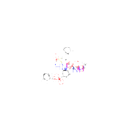 CC(=O)SCC(Cc1ccccc1)C(=O)Nc1cc(C(=O)OCc2ccccc2)ccc1CNC(=O)OC(C)(C)C